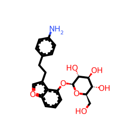 Nc1ccc(CCc2coc3cccc(O[C@@H]4O[C@H](CO)[C@@H](O)[C@H](O)[C@H]4O)c23)cc1